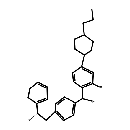 CCCC1CCC(c2ccc(C(F)c3ccc(C[C@H](C)C4=CC=CCC4)cc3)c(F)c2)CC1